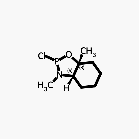 CN1[C@H]2CCCC[C@@]2(C)OP1Cl